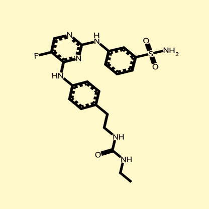 CCNC(=O)NCCc1ccc(Nc2nc(Nc3cccc(S(N)(=O)=O)c3)ncc2F)cc1